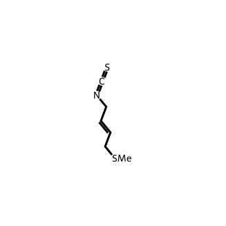 CSCC=CCN=C=S